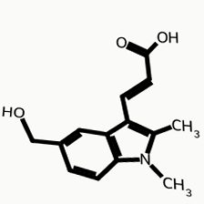 Cc1c(/C=C/C(=O)O)c2cc(CO)ccc2n1C